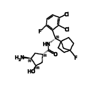 N[C@H]1C[C@H](C(=O)N[C@H](c2c(F)ccc(Cl)c2Cl)C23CCC(F)(CC2)C3)C[C@H]1O